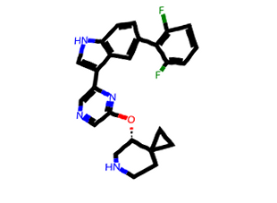 Fc1cccc(F)c1-c1ccc2[nH]cc(-c3cncc(O[C@H]4CNCCC45CC5)n3)c2c1